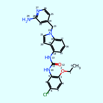 CCOc1ccc(Cl)cc1NC(=O)Nc1cccc2c1ccn2Cc1ccnc(N)c1